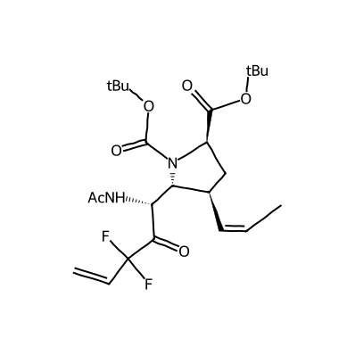 C=CC(F)(F)C(=O)[C@H](NC(C)=O)[C@H]1[C@H](/C=C\C)C[C@H](C(=O)OC(C)(C)C)N1C(=O)OC(C)(C)C